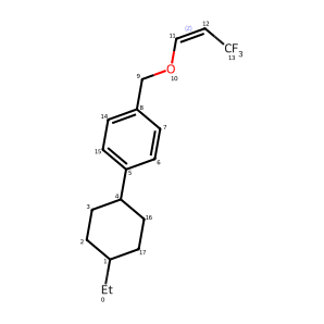 CCC1CCC(c2ccc(CO/C=C\C(F)(F)F)cc2)CC1